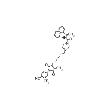 CC1=C(CCCCCCN2CCN(C(=O)N[C@H](C)c3cccc4ccccc34)CC2)C(=O)N(c2ccc(C#N)c(C(F)(F)F)c2)C1=O